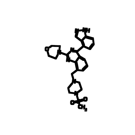 CS(=O)(=O)N1CCN(Cc2cccc3c(-c4cccc5[nH]ncc45)nc(N4CCOCC4)nc23)CC1